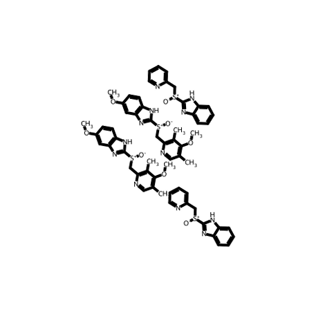 COc1ccc2[nH]c([S+]([O-])Cc3ncc(C)c(OC)c3C)nc2c1.COc1ccc2[nH]c([S+]([O-])Cc3ncc(C)c(OC)c3C)nc2c1.[O-][S+](Cc1ccccn1)c1nc2ccccc2[nH]1.[O-][S+](Cc1ccccn1)c1nc2ccccc2[nH]1